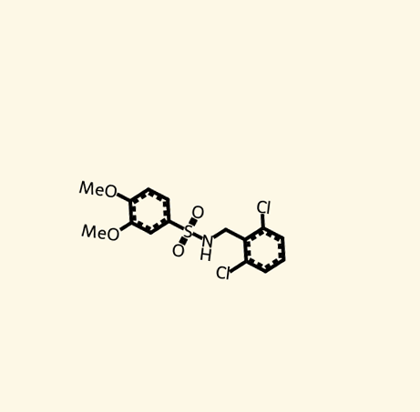 COc1ccc(S(=O)(=O)NCc2c(Cl)cccc2Cl)cc1OC